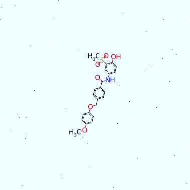 COc1ccc(OCc2ccc(C(=O)Nc3ccc(O)c(S(C)(=O)=O)c3)cc2)cc1